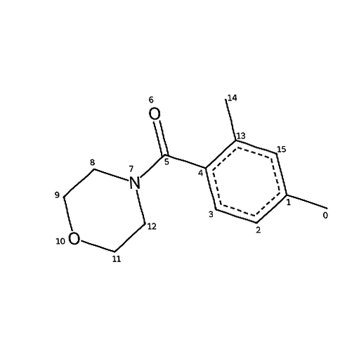 Cc1ccc(C(=O)N2CCOCC2)c(C)c1